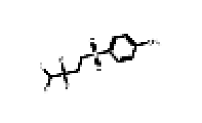 Cc1ccc(S(=O)(=O)CCC(F)(F)C(F)F)cc1